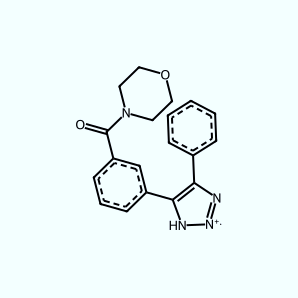 O=C(c1cccc(C2=C(c3ccccc3)N=[N+]N2)c1)N1CCOCC1